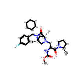 CC(C)(C)OC(=O)N[C@@H](CN1C[C@@H]2C[C@H]1C(=O)N2[C@H](c1ccc(F)cc1)C1CCCCC1)C(=O)N1CCC[C@H]1C#N